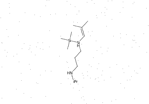 CC(C)=C[SiH](CCCNC(C)C)[Si](C)(C)C